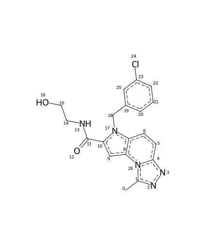 Cc1nnc2ccc3c(cc(C(=O)NCCO)n3Cc3cccc(Cl)c3)n12